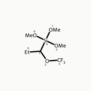 CCC(OC(F)(F)F)[Si](OC)(OC)OC